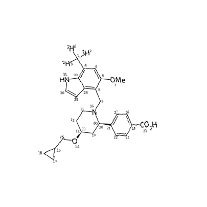 [2H]C([2H])([2H])c1cc(OC)c(CN2CC[C@H](OCC3CC3)C[C@@H]2c2ccc(C(=O)O)cc2)c2cc[nH]c12